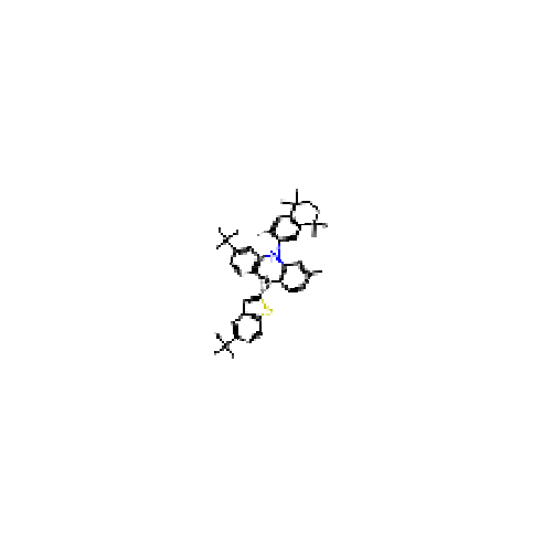 Cc1ccc2c(c1)N(c1cc3c(cc1C)C(C)(C)CCC3(C)C)c1cc(C(C)(C)C)ccc1B2c1cc2cc(C(C)(C)C)ccc2s1